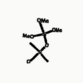 CO[Si](OC)(OC)O[Si](C)(C)Cl